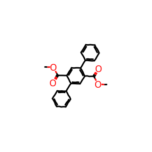 COC(=O)c1cc(-c2ccccc2)c(C(=O)OC)cc1-c1ccccc1